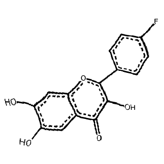 O=c1c(O)c(-c2ccc(F)cc2)oc2cc(O)c(O)cc12